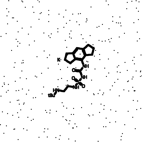 CC(C)(C)NCCNS(=O)(=O)NC(=O)Nc1c2c(cc3c1CCC3)CCC2.[K]